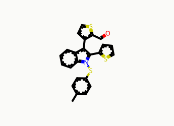 Cc1ccc(Sn2c(-c3cccs3)c(-c3ccsc3C=O)c3ccccc32)cc1